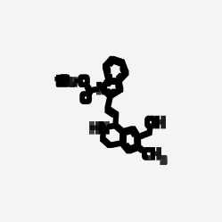 Cc1cc2c(cc1CO)C(/C=C/c1cc3ccccc3n1C(=O)OC(C)(C)C)NCC2